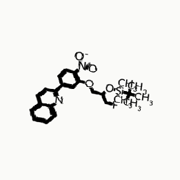 CC(C)(C)[Si](C)(C)OC(CF)COc1cc(-c2ccc3ccccc3n2)ccc1[N+](=O)[O-]